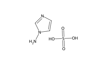 Nn1ccnc1.O=S(=O)(O)O